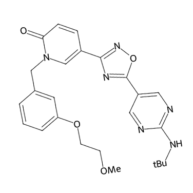 COCCOc1cccc(Cn2cc(-c3noc(-c4cnc(NC(C)(C)C)nc4)n3)ccc2=O)c1